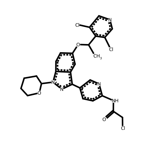 CC(Oc1ccc2c(c1)c(-c1ccc(NC(=O)CCl)nc1)nn2C1CCCCO1)c1c(Cl)cncc1Cl